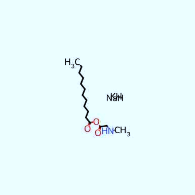 CCCCCCCCCCCC(=O)OC(=O)CNC.[KH].[NaH]